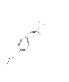 CCSc1ccc(/C=C(\C)[N+](=O)[O-])cc1